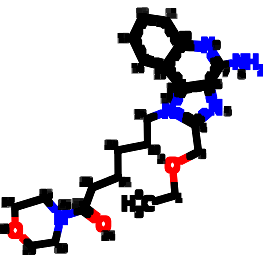 CCOCc1nc2c(N)nc3ccccc3c2n1CCCCCC(=O)N1CCOCC1